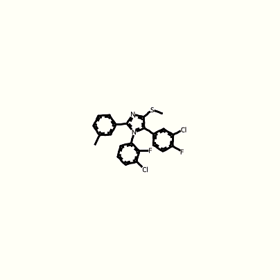 CSc1nc(-c2cccc(C)c2)n(-c2cccc(Cl)c2F)c1-c1ccc(F)c(Cl)c1